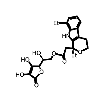 CCc1cccc2c3c([nH]c12)[C@@](CC)(CC(=O)OC[C@H](O)[C@H]1OC(=O)C(O)=C1O)OCC3